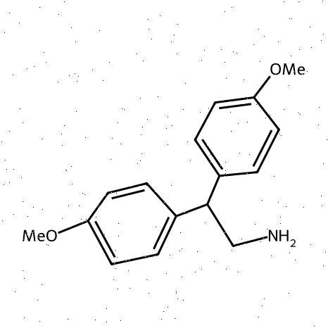 COc1ccc(C(CN)c2ccc(OC)cc2)cc1